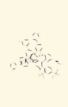 Cc1cccc(-c2ccc3c(c2)c2cc(-c4cccc(C)c4)ccc2n3-c2ccc(-c3ccc(C(F)(F)F)cc3C(F)(F)F)c(-c3cc(C#N)ccc3-n3c4ccc(-c5cccc(C)c5)cc4c4cc(-c5cccc(C)c5)ccc43)c2)c1